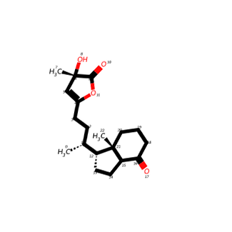 C[C@H](CCC1=C[C@](C)(O)C(=O)O1)[C@H]1CCC2C(=O)CCC[C@]21C